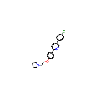 Clc1ccc(-c2ccc(-c3ccc(OCCN4CCCC4)cc3)nc2)cc1